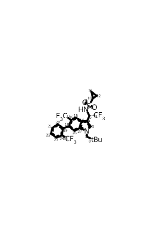 CC(C)(C)Cn1cc([C@H](NS(=O)(=O)C2CC2)C(F)(F)F)c2cc(C(F)(F)F)c(-c3ccccc3C(F)(F)F)cc21